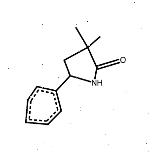 CC1(C)CC(c2ccccc2)NC1=O